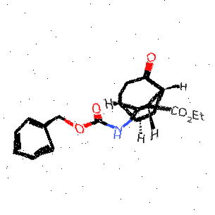 CCOC(=O)[C@@H]1[C@@H](NC(=O)OCc2ccccc2)[C@@H]2CC[C@H]1C(=O)C2